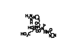 N=C(N)N1CCC[C@@H](CC(=O)C[C@H](NC(=O)[C@@H](O)CCC(=O)O)C(=O)N(CCNC(=O)c2cnccn2)C2CC2)C1